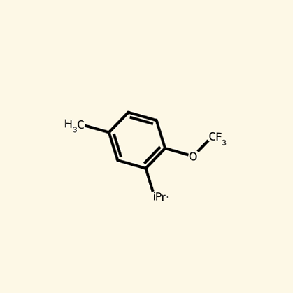 C[C](C)c1cc(C)ccc1OC(F)(F)F